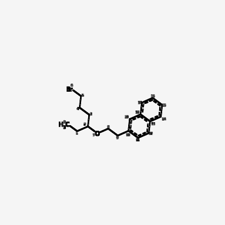 CCC(CCCBr)OCCc1ccc2ccccc2c1